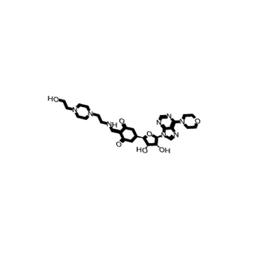 O=C1CC([C@H]2O[C@@H](n3cnc4c(N5CCOCC5)ncnc43)[C@H](O)[C@@H]2O)CC(=O)C1=CNCCN1CCN(CCO)CC1